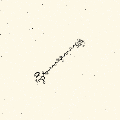 CN1C(=O)C[C@H](C(=O)NCCOCCOCCNC(=O)NCCOCCOCCC(=O)OC(C)(C)C)[C@H]1c1cccnc1